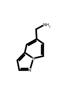 NCc1ccn2nccc2c1